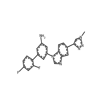 Cn1cc(-c2ccc3c(c2)ncn3-c2cc(N)cc(-c3ccc(F)cc3F)c2)nn1